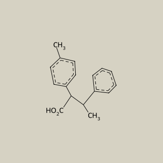 Cc1ccc(C(C(=O)O)C(C)c2ccccc2)cc1